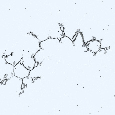 N#C/C(=C\CO[C@@H]1O[C@H](CO)[C@@H](O)[C@H](O)[C@H]1O)COC(=O)C=Cc1ccc(O)cc1